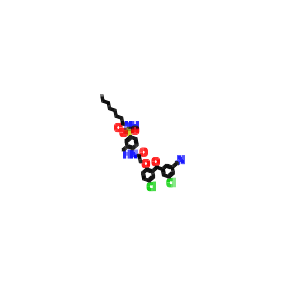 CCCCCCCC(=O)NS(=O)(=O)c1ccc(NC(=O)COc2ccc(Cl)cc2C(=O)c2cc(Cl)cc(C#N)c2)c(C)c1